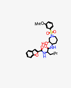 COc1cccc(S(=O)(=O)N2CCCC(NC(=O)C(CC(C)C)NC(=O)c3cc4ccccc4o3)[C@@H](O)C2)c1